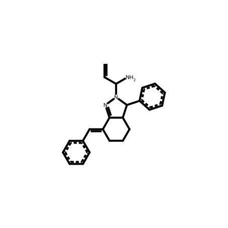 C=CC(N)N1N=C2C(=Cc3ccccc3)CCCC2C1c1ccccc1